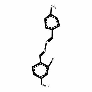 CCCCCc1ccc(/C=N/N=C/c2ccc(C)cc2)c(F)c1